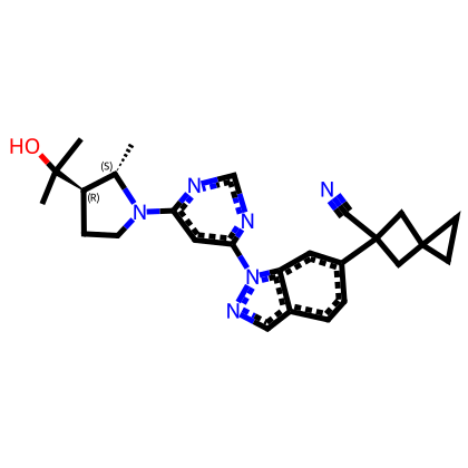 C[C@H]1[C@H](C(C)(C)O)CCN1c1cc(-n2ncc3ccc(C4(C#N)CC5(CC5)C4)cc32)ncn1